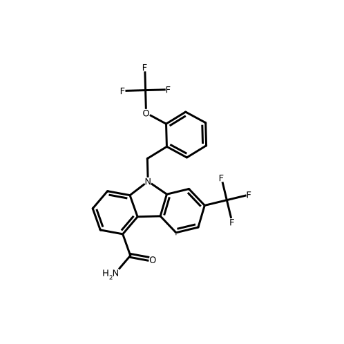 NC(=O)c1cccc2c1c1[c]cc(C(F)(F)F)cc1n2Cc1ccccc1OC(F)(F)F